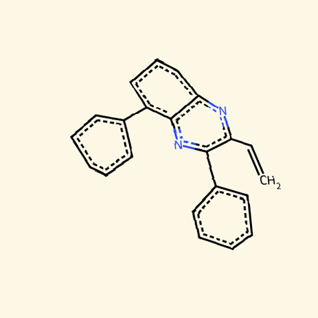 C=Cc1nc2cccc(-c3ccccc3)c2nc1-c1ccccc1